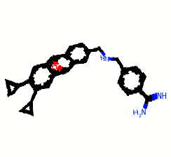 N=C(N)c1ccc(CNCc2ccc3c(c2)c2oc3c3cc(C4CC4)c(C4CC4)cc32)cc1